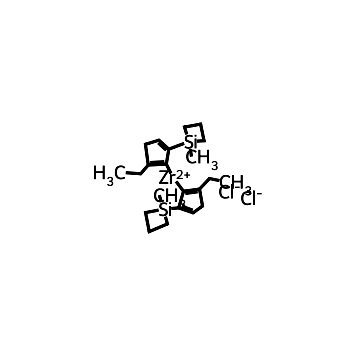 CCC1=[C]([Zr+2][C]2=C(CC)CC=C2[Si]2(C)CCC2)C([Si]2(C)CCC2)=CC1.[Cl-].[Cl-]